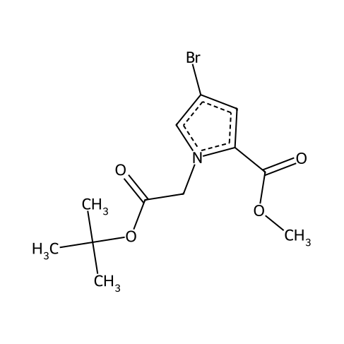 COC(=O)c1cc(Br)cn1CC(=O)OC(C)(C)C